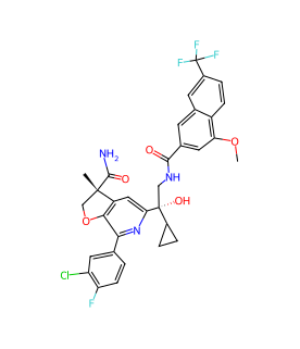 COc1cc(C(=O)NC[C@](O)(c2cc3c(c(-c4ccc(F)c(Cl)c4)n2)OC[C@]3(C)C(N)=O)C2CC2)cc2cc(C(F)(F)F)ccc12